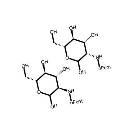 CCCCCN[C@@H]1C(O)O[C@H](CO)[C@@H](O)[C@@H]1O.CCCCCN[C@H]1C(O)O[C@H](CO)[C@@H](O)[C@@H]1O